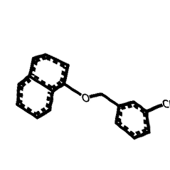 Cc1cccc(COc2cccc3ccccc23)c1